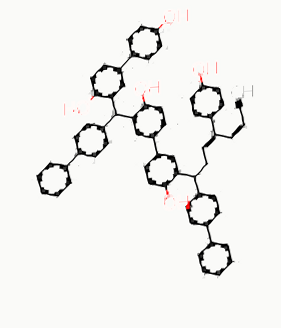 C#C/C=C\C(=C/CC(c1ccc(-c2ccccc2)cc1)c1cc(-c2ccc(O)c(C(c3ccc(-c4ccccc4)cc3)c3cc(-c4ccc(O)cc4)ccc3O)c2)ccc1O)c1ccc(O)cc1